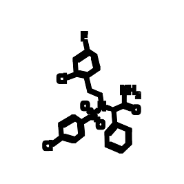 NC(=O)[C@@H](c1ccccc1)N(CCc1ccc(F)cc1Cl)S(=O)(=O)c1ccc(Cl)cc1